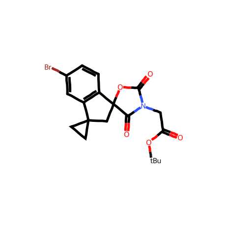 CC(C)(C)OC(=O)CN1C(=O)OC2(CC3(CC3)c3cc(Br)ccc32)C1=O